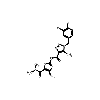 Cc1nc(NC(=O)c2nnn(Cc3ccc(Cl)c(Cl)c3)c2C)sc1C(=O)N(C)C